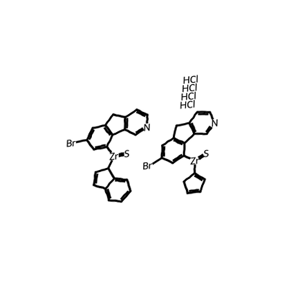 Cl.Cl.Cl.Cl.[S]=[Zr]([C]1=CC=CC1)[c]1cc(Br)cc2c1-c1cnccc1C2.[S]=[Zr]([c]1cc(Br)cc2c1-c1cnccc1C2)[CH]1C=Cc2ccccc21